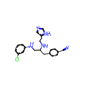 N#Cc1ccc(CC(CNc2cccc(Cl)c2)NCc2cnc[nH]2)cc1